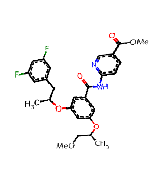 COC[C@H](C)Oc1cc(O[C@@H](C)Cc2cc(F)cc(F)c2)cc(C(=O)Nc2ccc(C(=O)OC)cn2)c1